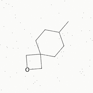 CC1CCC2(CC1)COC2